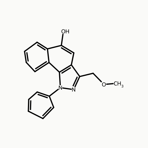 COCc1nn(-c2ccccc2)c2c1cc(O)c1ccccc12